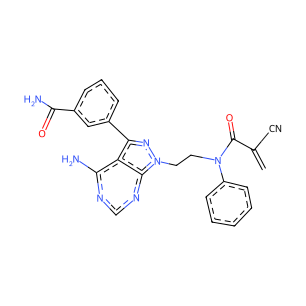 C=C(C#N)C(=O)N(CCn1nc(-c2cccc(C(N)=O)c2)c2c(N)ncnc21)c1ccccc1